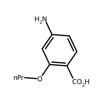 CCCOc1cc(N)ccc1C(=O)O